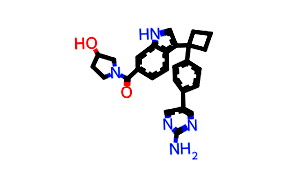 Nc1ncc(-c2ccc(C3(c4c[nH]c5cc(C(=O)N6CCC(O)C6)ccc45)CCC3)cc2)cn1